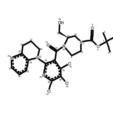 CC(C)(C)OC(=O)N1CCN(C(=O)c2c(N3CCCc4ncccc43)nc(Cl)c(Cl)c2Cl)[C@@H](CO)C1